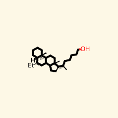 CC[C@H]1CC2C3CC[C@H]([C@H](C)CCCCCO)[C@@]3(C)CCC2[C@@]2(C)CCCC[C@@H]12